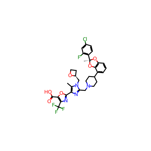 Cc1c(-c2nc(C(F)(F)F)c(C(=O)O)o2)nc(CN2CCC(c3cccc4c3O[C@@](C)(c3ccc(Cl)cc3F)O4)CC2)n1C[C@@H]1CCO1